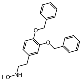 ONCCc1ccc(OCc2ccccc2)c(OCc2ccccc2)c1